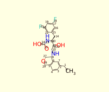 CCc1ccc2c(c1)C(NC[C@H](O)[C@H](Cc1cc(F)cc(F)c1)NC(=O)O)COC2